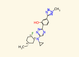 CC[C@@H]1CC[C@H](F)[C@H](N(c2cnc(-c3ccc(-c4nnn(C)n4)cc3O)nn2)C2CC2)C1